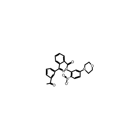 CC(=O)c1cccc(-c2nn(-c3cc(N4CCOCC4)ccc3[N+](=O)[O-])c(=O)c3ccccc23)c1